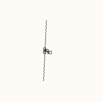 CCCCCCCCCCCCCCCCCCOP(OCCCCCCCCCCCCCCCCCC)OSCl